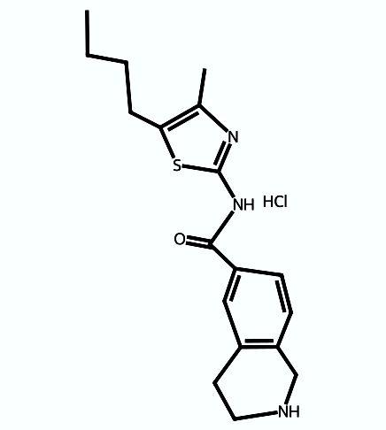 CCCCc1sc(NC(=O)c2ccc3c(c2)CCNC3)nc1C.Cl